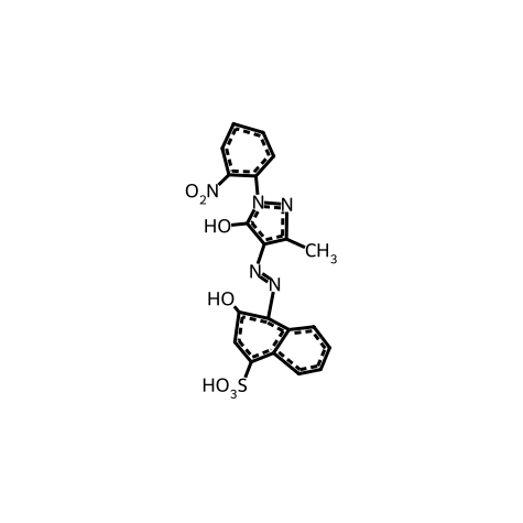 Cc1nn(-c2ccccc2[N+](=O)[O-])c(O)c1N=Nc1c(O)cc(S(=O)(=O)O)c2ccccc12